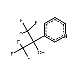 OC(c1cccnc1)(C(F)(F)F)C(F)(F)F